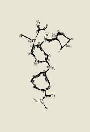 COC(=O)c1cccc(Nc2cc3c(cn2)N(I)C(=O)C(C)N3C2CCCC2)c1